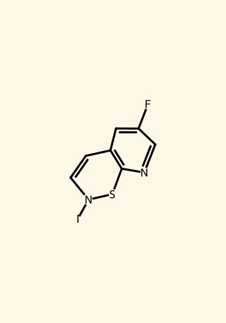 Fc1cnc2c(c1)C=CN(I)S2